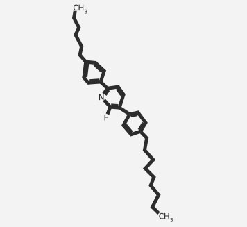 CCCCCCCCCc1ccc(-c2ccc(-c3ccc(CCCCCC)cc3)nc2F)cc1